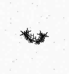 CCCCN(CCCC)c1nc(N(CCCC)CCCC)nc(-n2nc(C(C)(C)C)c(N=Nc3nnc(SCCSc4nnc(N=Nc5c(C(C)(C)C)nn(-c6nc(N(CCCC)CCCC)nc(N(CCCC)CCCC)n6)c5N)s4)s3)c2N)n1